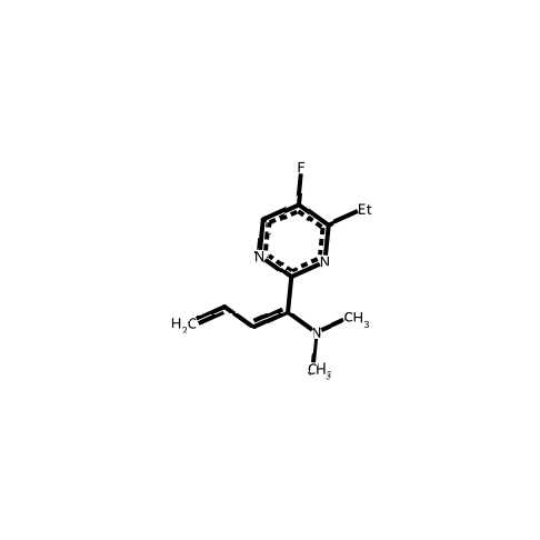 C=C/C=C(\c1ncc(F)c(CC)n1)N(C)C